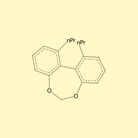 CCCc1cccc2c1-c1c(CCC)cccc1OCO2